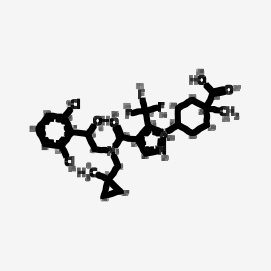 CC1(CN(CC(O)c2c(Cl)cccc2Cl)C(=O)c2cnn(C3CCC(C)(C(=O)O)CC3)c2C(F)(F)F)CC1